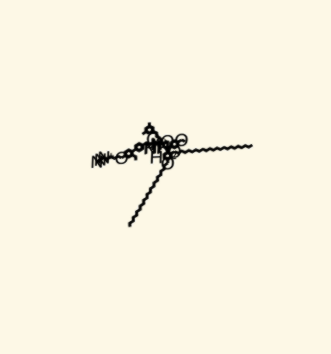 CCCCCCCCCCCCCCCCCCCCCCOc1ccc(C(NC(=O)[C@H](CCCc2cc(C)cc(C)c2)NC(=O)[C@@H](N)Cc2ccc(-c3ccc(OCCCCN=[N+]=[N-])cc3CC)cc2)c2ccc(OC)cc2)c(OCCCCCCCCCCCCCCCCCCCCCC)c1